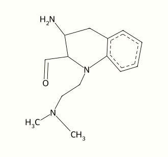 CN(C)CCN1c2ccccc2CC(N)C1C=O